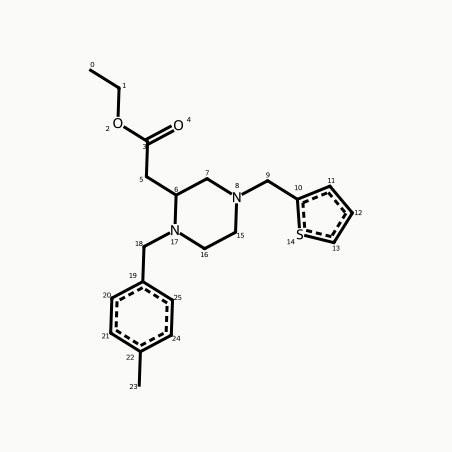 CCOC(=O)CC1CN(Cc2cccs2)CCN1Cc1ccc(C)cc1